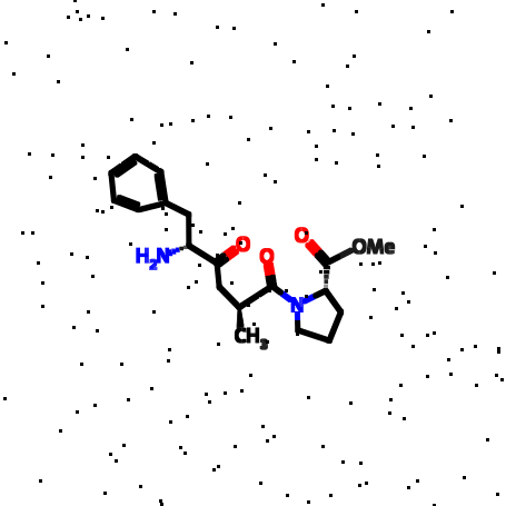 COC(=O)[C@@H]1CCCN1C(=O)[C@@H](C)CC(=O)[C@H](N)Cc1ccccc1